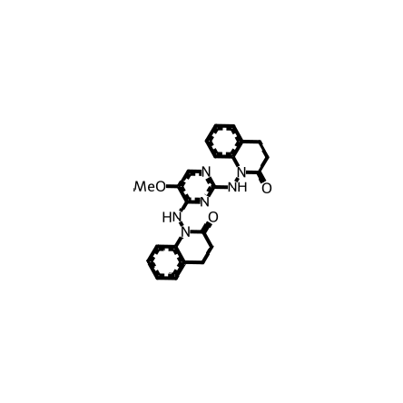 COc1cnc(NN2C(=O)CCc3ccccc32)nc1NN1C(=O)CCc2ccccc21